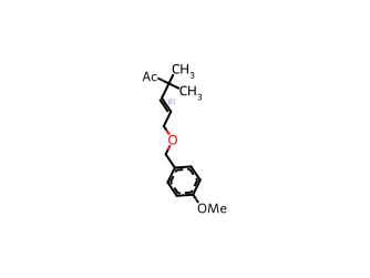 COc1ccc(COC/C=C/C(C)(C)C(C)=O)cc1